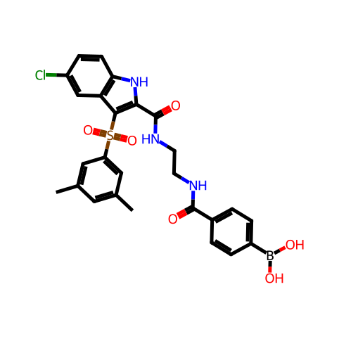 Cc1cc(C)cc(S(=O)(=O)c2c(C(=O)NCCNC(=O)c3ccc(B(O)O)cc3)[nH]c3ccc(Cl)cc23)c1